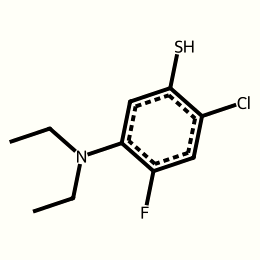 CCN(CC)c1cc(S)c(Cl)cc1F